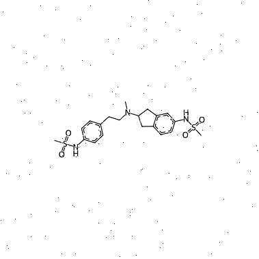 CN(CCc1ccc(NS(C)(=O)=O)cc1)C1Cc2ccc(NS(C)(=O)=O)cc2C1